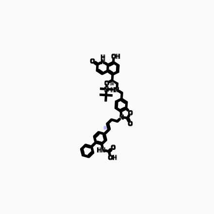 CC(C)(C)[Si](C)(C)O[C@H](CNCc1ccc2c(c1)oc(=O)n2CC/C=C/c1ccc(-c2ccccc2)c(NC(=O)O)c1)c1ccc(O)c2[nH]c(=O)ccc12